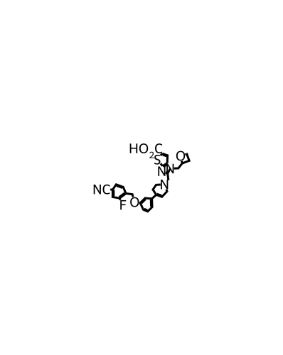 N#Cc1ccc(COc2cccc(C3=CCN(Cc4nc5sc(C(=O)O)cc5n4CC4CCO4)CC3)c2)c(F)c1